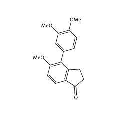 COc1ccc(-c2c(OC)ccc3c2CCC3=O)cc1OC